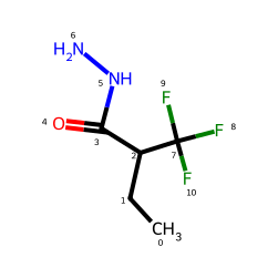 CCC(C(=O)NN)C(F)(F)F